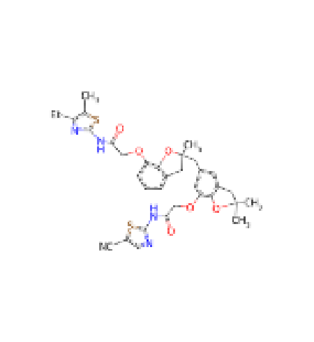 CCc1nc(NC(=O)COc2cccc3c2OC(C)(Cc2cc4c(c(OCC(=O)Nc5ncc(C#N)s5)c2)OC(C)(C)C4)C3)sc1C